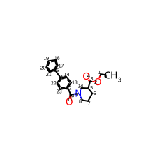 CCOC(=O)C1CCCN(C(=O)c2ccc(-c3ccccc3)cc2)C1